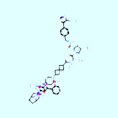 Cc1ncsc1-c1ccc(CNC(=O)[C@@H]2C[C@H](O)CN2C(=O)[C@@H](NC(=O)C2CC3(C2)CC(N2CCC(c4cnc(N5C6CCC5CN(c5cc(-c7ccccc7O)nnc5N)C6)nc4)CC2)C3)C(C)(C)C)cc1